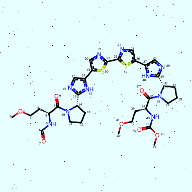 COCC[C@H](NC=O)C(=O)N1CCC[C@H]1c1ncc(-c2cnc(-c3ncc(-c4cnc([C@@H]5CCCN5C(=O)[C@H](CCOC)NC(=O)OC)[nH]4)s3)s2)[nH]1